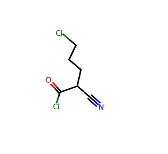 N#CC(CCCCl)C(=O)Cl